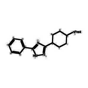 CCCCCC1CCC(c2n[nH]c(-c3ccccc3)n2)CC1